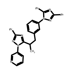 CC(C)c1nc(C(C)C)n(-c2cccc(CC(C)c3nc(C(C)C)nn3-c3cccnc3)c2)n1